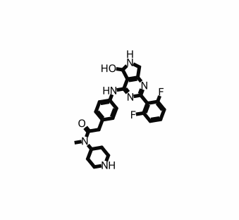 CN(C(=O)Cc1ccc(Nc2nc(-c3c(F)cccc3F)nc3c2C(O)NC3)cc1)C1CCNCC1